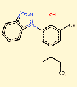 CC(CC(=O)O)c1cc(-n2nnc3ccccc32)c(O)c(C(C)(C)C)c1